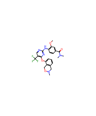 COc1cc(C(=O)N(C)C)ccc1Nc1ncc(C(F)(F)F)c(Oc2cccc3c2CON(C)C3)n1